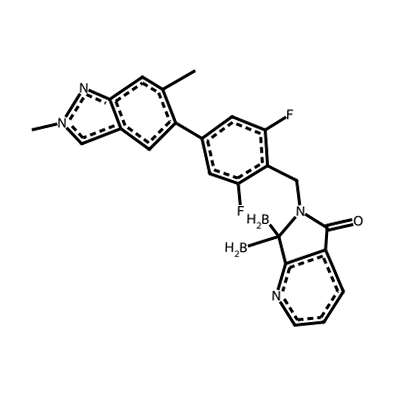 BC1(B)c2ncccc2C(=O)N1Cc1c(F)cc(-c2cc3cn(C)nc3cc2C)cc1F